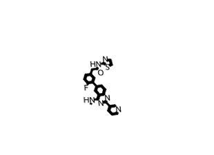 CNc1nc(-c2cccnc2)nc2ccc(-c3cc(CC(=O)Nc4nccs4)ccc3F)cc12